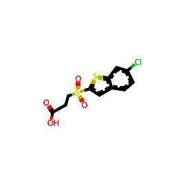 O=C(O)CCS(=O)(=O)c1cc2ccc(Cl)cc2s1